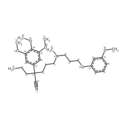 CCCC(C#N)(CCCN(C)CCCOc1cccc(OC)c1)c1cc(OC)c(OC)c(OC)c1